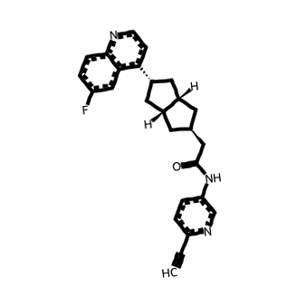 C#Cc1ccc(NC(=O)C[C@H]2C[C@@H]3C[C@H](c4ccnc5ccc(F)cc45)C[C@@H]3C2)cn1